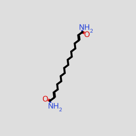 NC(=O)C=CCCCCCCCCCCCCC=CC(N)=O